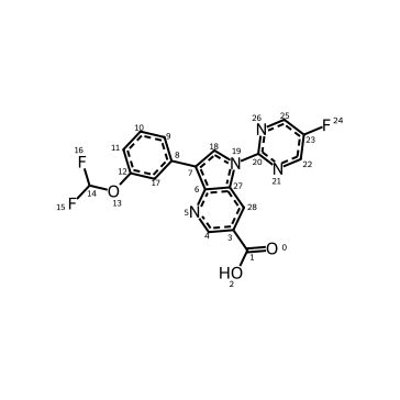 O=C(O)c1cnc2c(-c3cccc(OC(F)F)c3)cn(-c3ncc(F)cn3)c2c1